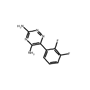 Nc1nnc(-c2cccc(F)c2F)c(N)n1